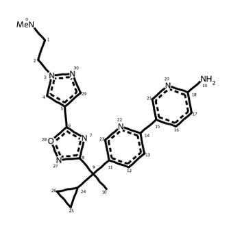 CNCCn1cc(-c2nc(C(C)(c3ccc(-c4ccc(N)nc4)nc3)C3CC3)no2)cn1